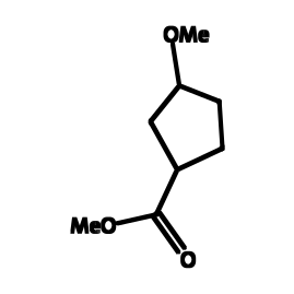 COC(=O)C1CCC(OC)C1